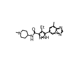 CCc1c(C(=O)NC2CCN(C)CC2)n[nH]c1-c1cc(C)c2ncnn2c1